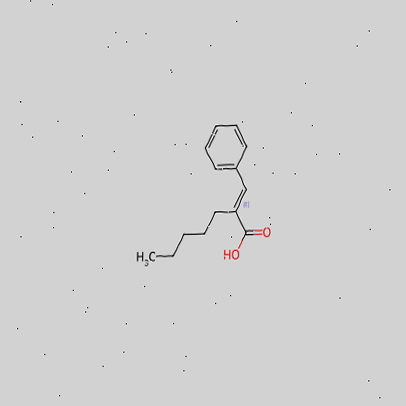 CCCCC/C(=C\c1ccccc1)C(=O)O